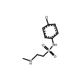 CNCCS(=O)(=O)Nc1ccc(Cl)cc1